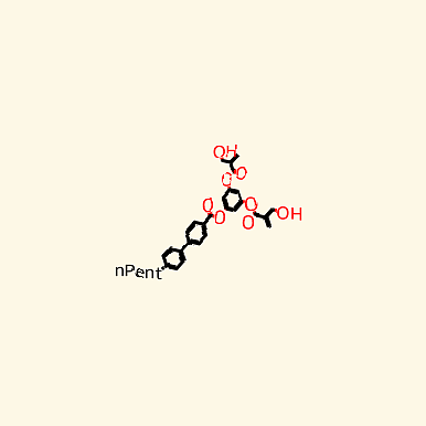 C=C(CO)C(=O)Oc1cc(OC(=O)C(=C)CO)cc(OC(=O)c2ccc(-c3ccc(CCCCC)cc3)cc2)c1